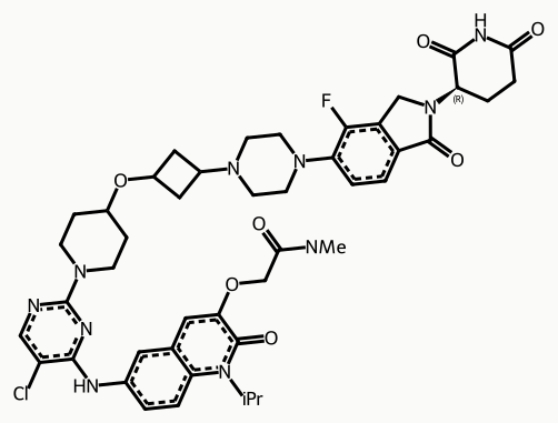 CNC(=O)COc1cc2cc(Nc3nc(N4CCC(OC5CC(N6CCN(c7ccc8c(c7F)CN([C@@H]7CCC(=O)NC7=O)C8=O)CC6)C5)CC4)ncc3Cl)ccc2n(C(C)C)c1=O